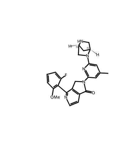 COc1cccc(F)c1-c1nccc2c1CN(c1cc(C)cc(N3C[C@@H]4C[C@H]3CN4)n1)C2=O